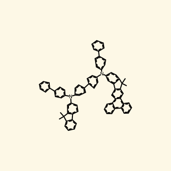 CC1(C)c2ccccc2-c2ccc(N(c3ccc(-c4ccccc4)cc3)c3ccc(-c4ccc(N(c5ccc(-c6ccccc6)cc5)c5ccc6c(c5)-c5cc7c8ccccc8c8ccccc8c7cc5C6(C)C)cc4)cc3)cc21